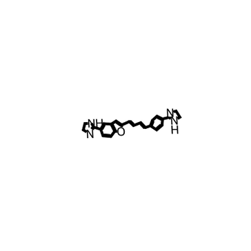 C(/C=C/c1cc2cc(C3=NCCN3)ccc2o1)=C\c1ccc(C2=NCCN2)cc1